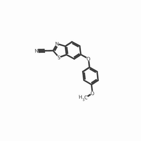 COc1ccc(Oc2ccc3nc(C#N)sc3c2)cc1